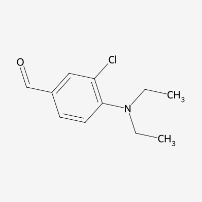 CCN(CC)c1ccc(C=O)cc1Cl